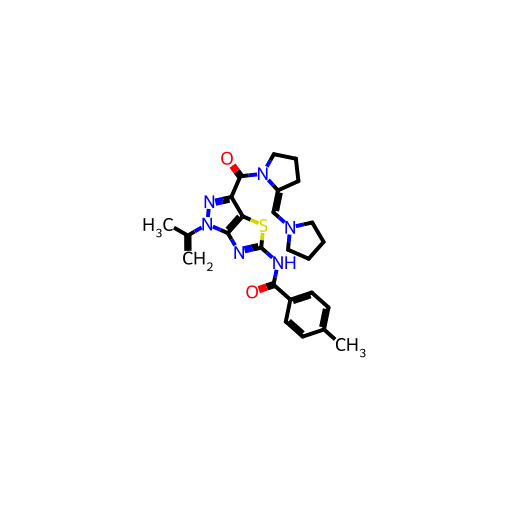 C=C(C)n1nc(C(=O)N2CCC/C2=C\N2CCCC2)c2sc(NC(=O)c3ccc(C)cc3)nc21